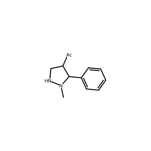 CC(=O)C1CNN(C)C1c1ccccc1